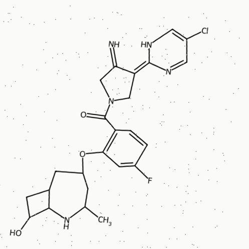 CC1CC(Oc2cc(F)ccc2C(=O)N2CC(=N)/C(=C3/N=CC(Cl)=CN3)C2)CC2CC(O)C2N1